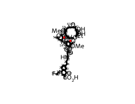 CC[C@H]1OC(=O)[C@H](C)[C@@H](O[C@H]2C[C@@](C)(OC)[C@@H](OS(=O)(=O)CCNCCCc3ccc4c(c3)c(=O)c(C(=O)O)cn4CCF)[C@H](C)O2)[C@H](C)[C@@H](O[C@@H]2O[C@H](C)C[C@H](N(C)C)[C@H]2O)[C@](C)(OC)C[C@@H](C)C(=O)[C@@H](C)[C@@H](O)[C@]1(C)O